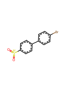 O=[SH](=O)c1c[c]c(-c2ccc(Br)cc2)cc1